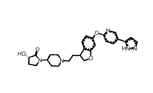 O=C1[C@@H](O)CCN1C1CCN(CCC2COc3cc(Oc4ccc(-c5ccn[nH]5)cn4)ccc32)CC1